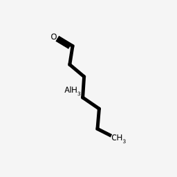 CCCCCCC=O.[AlH3]